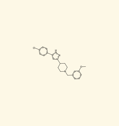 COc1cccc(CN2CCC(c3cc(-c4ccc(Cl)cc4)[nH]n3)CC2)c1